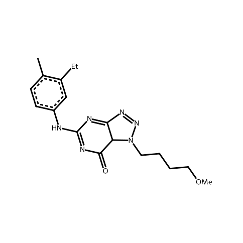 CCc1cc(NC2=NC(=O)C3C(=N2)N=NN3CCCCOC)ccc1C